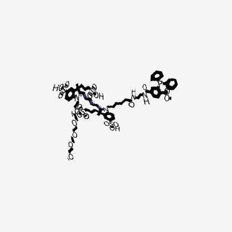 COCCOCCOCCOCCOCC[N+]1=C(/C=C/C=C/C=C2/N(CCCCCC(=O)NCCNC(=O)c3ccc(C(=O)OC)c(P(c4ccccc4)c4ccccc4)c3)c3ccc(S(=O)(=O)O)cc3C2(C)CCCS(=O)(=O)O)C(C)(CCCS(=O)(=O)O)c2cc(S(=O)(=O)O)ccc21